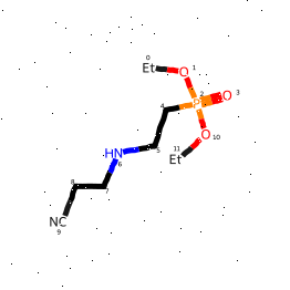 CCOP(=O)(CCNCCC#N)OCC